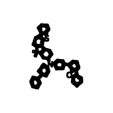 CC1(C)C2=C(C=CC(N(c3ccc(-c4ccccc4)cc3)c3ccc(-c4cccc5c4oc4ccccc45)cc3)C2)c2c1ccc1c2sc2ccccc21